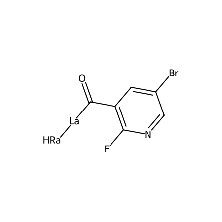 O=[C]([La][RaH])c1cc(Br)cnc1F